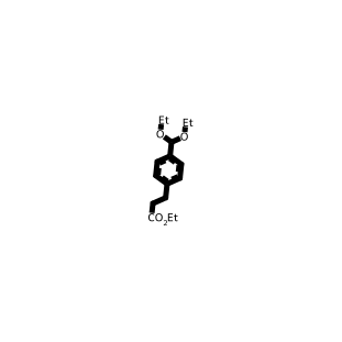 CCOC(=O)CCc1ccc(C(OCC)OCC)cc1